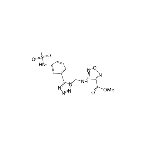 COC(=O)c1nonc1NCn1nnnc1-c1cccc(NS(C)(=O)=O)c1